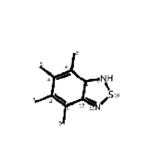 CC1=C(C)C(C)=C(C)C2NSN=C12